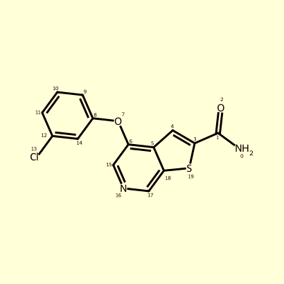 NC(=O)c1cc2c(Oc3cccc(Cl)c3)cncc2s1